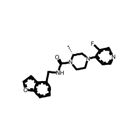 C[C@@H]1CN(c2ccncc2F)CCN1C(=O)NCc1cccc2occc12